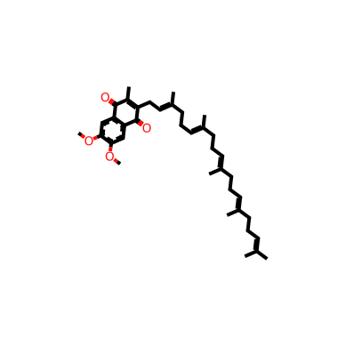 COc1cc2c(cc1OC)C(=O)C(C/C=C(\C)CC/C=C(\C)CC/C=C(\C)CC/C=C(\C)CCC=C(C)C)=C(C)C2=O